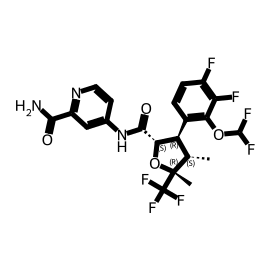 C[C@H]1[C@H](c2ccc(F)c(F)c2OC(F)F)[C@@H](C(=O)Nc2ccnc(C(N)=O)c2)O[C@@]1(C)C(F)(F)F